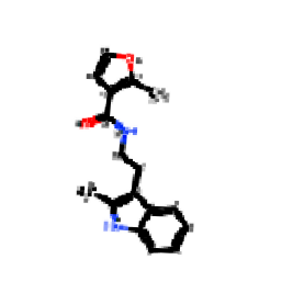 Cc1[nH]c2ccccc2c1CCNC(=O)c1ccoc1C